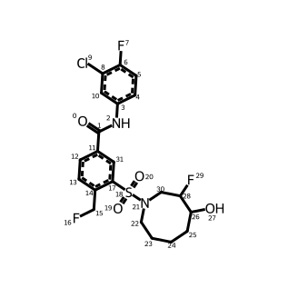 O=C(Nc1ccc(F)c(Cl)c1)c1ccc(CF)c(S(=O)(=O)N2CCCCC(O)C(F)C2)c1